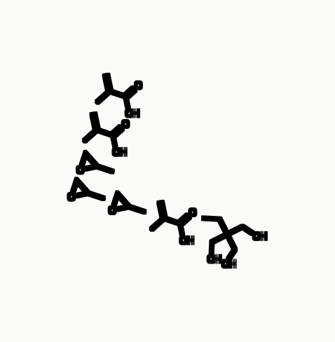 C=C(C)C(=O)O.C=C(C)C(=O)O.C=C(C)C(=O)O.CC1CO1.CC1CO1.CC1CO1.CCC(CO)(CO)CO